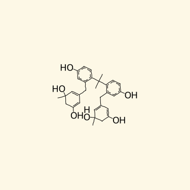 CC1(O)C=C(Cc2cc(O)ccc2C(C)(C)c2ccc(O)cc2CC2=CC(C)(O)CC(O)=C2)C=C(O)C1